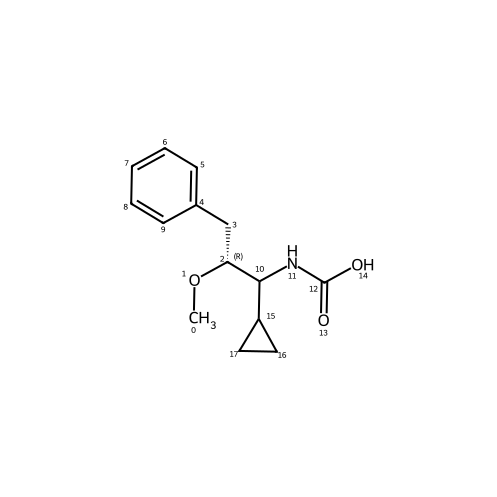 CO[C@H](Cc1ccccc1)C(NC(=O)O)C1CC1